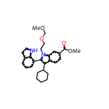 COCOCCn1c(-c2cccc3cc[nH]c23)c(C2CCCCC2)c2ccc(C(=O)OC)cc21